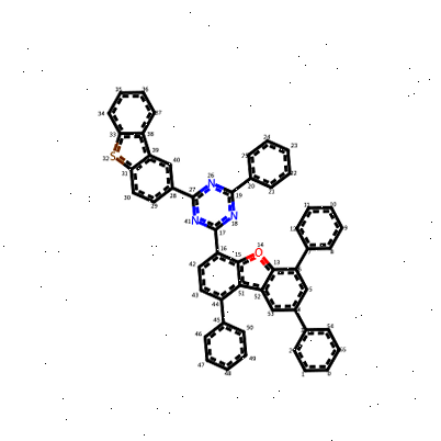 c1ccc(-c2cc(-c3ccccc3)c3oc4c(-c5nc(-c6ccccc6)nc(-c6ccc7sc8ccccc8c7c6)n5)ccc(-c5ccccc5)c4c3c2)cc1